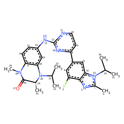 Cc1nc2c(F)cc(-c3ccnc(Nc4ccc5c(c4)N(C(C)C)[C@H](C)C(=O)N5C)n3)cc2n1C(C)C